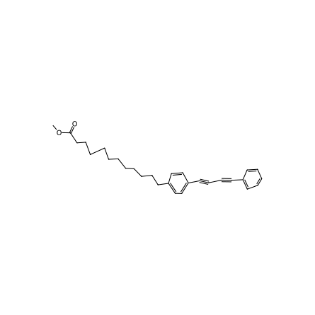 COC(=O)CCCCCCCCCCCc1ccc(C#CC#Cc2ccccc2)cc1